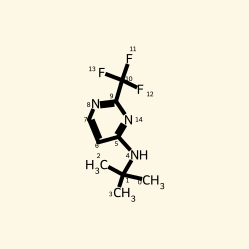 CC(C)(C)Nc1ccnc(C(F)(F)F)n1